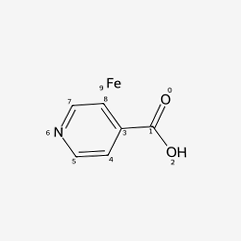 O=C(O)c1ccncc1.[Fe]